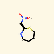 O=[N+]([O-])C=C1NCCCCS1